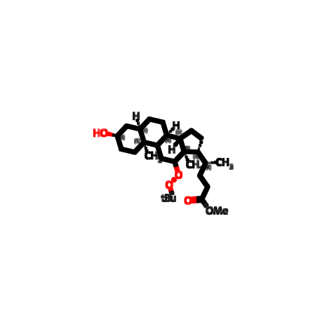 COC(=O)CC[C@@H](C)[C@H]1CC[C@H]2[C@@H]3CC[C@@H]4C[C@H](O)CC[C@]4(C)C3CC(OOC(C)(C)C)[C@]12C